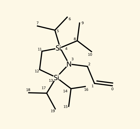 C=CCN1[Si](C(C)C)(C(C)C)CC[Si]1(C(C)C)C(C)C